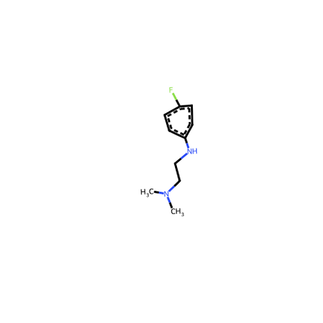 CN(C)CCNc1ccc(F)cc1